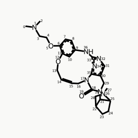 CN(C)CCOc1ccc2cc1OC/C=C\CN1C(=O)N(C3C4CCC3N(C)C4)Cc3cnc(nc31)N2